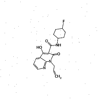 C=CCn1c(=O)c(C(=O)NC2CCC(F)CC2)c(O)c2cccnc21